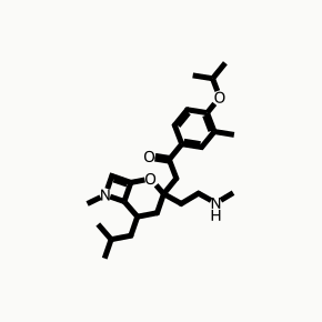 CNCCC1(CC(=O)c2ccc(OC(C)C)c(C)c2)CC(CC(C)C)C2C(=CN2C)O1